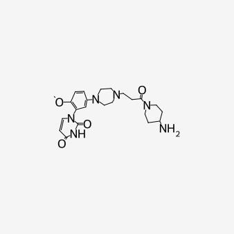 COc1ccc(N2CCN(CCC(=O)N3CCC(N)CC3)CC2)cc1-n1ccc(=O)[nH]c1=O